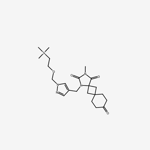 CN1C(=O)N(Cc2cnn(COCC[Si](C)(C)C)c2)C2(CC3(CCC(=O)CC3)C2)C1=O